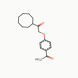 O=C(O)C(=O)c1ccc(OCC(=O)C2CCCCCCC2)cc1